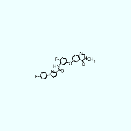 Cn1cnc2ccc(Oc3ccc(F)c(NC(=O)c4ccn(-c5ccc(F)cc5)n4)c3)cc2c1=O